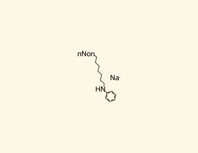 CCCCCCCCCCCCCCCCNc1ccccc1.[Na]